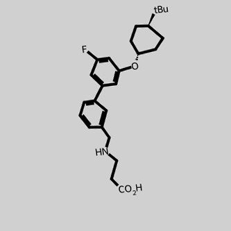 CC(C)(C)[C@H]1CC[C@H](Oc2cc(F)cc(-c3cccc(CNCCC(=O)O)c3)c2)CC1